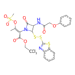 CC(OS(C)(=O)=O)=C(C(=O)OCC(Cl)(Cl)Cl)N1C(=O)C(NC(=O)COc2ccccc2)C1SSc1nc2ccccc2s1